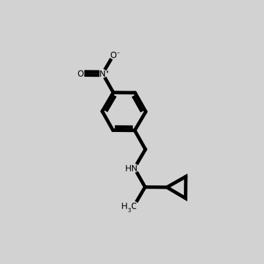 CC(NCc1ccc([N+](=O)[O-])cc1)C1CC1